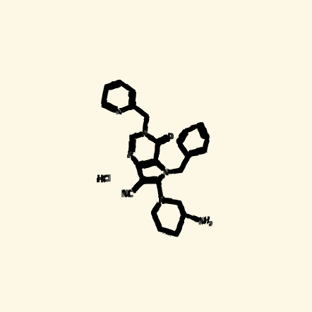 Cl.N#Cc1c(N2CCC[C@H](N)C2)n(Cc2ccccc2)c2c(=O)n(Cc3ccccn3)cnc12